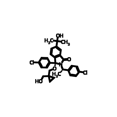 C[C@@H](c1ccc(Cl)cc1)N1C(=O)c2cc(C(C)(C)O)ccc2[C@]1(OCC1(CO)CC1)c1ccc(Cl)cc1